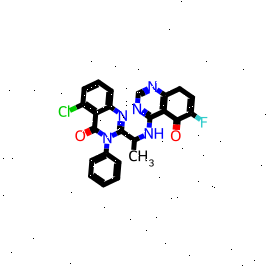 CC(Nc1ncnc2c1C(=O)C(F)=CC2)c1nc2cccc(Cl)c2c(=O)n1-c1ccccc1